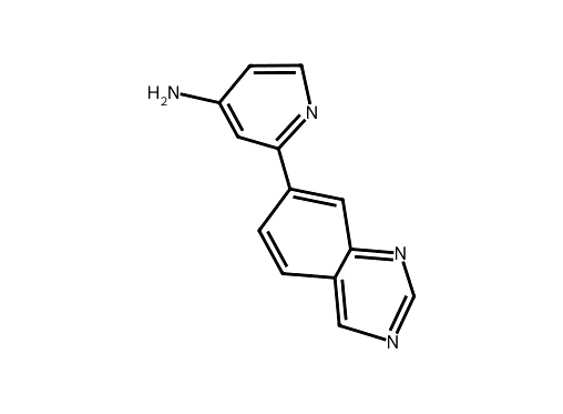 Nc1ccnc(-c2ccc3cncnc3c2)c1